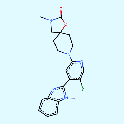 CN1CC2(CCN(c3cc(-c4nc5ccccc5n4C)c(Cl)cn3)CC2)OC1=O